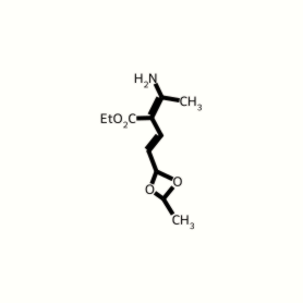 CCOC(=O)C(/C=C/C1OC(C)O1)=C(/C)N